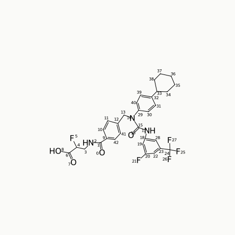 O=C(NCC(F)C(=O)O)c1ccc(CN(C(=O)Nc2cc(F)cc(C(F)(F)F)c2)c2ccc(C3CCCCC3)cc2)cc1